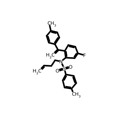 C=CCCN(c1cc(F)ccc1C(=C)c1ccc(C)cc1)S(=O)(=O)c1ccc(C)cc1